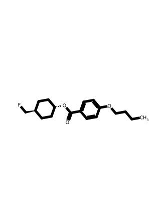 CCCCOc1ccc(C(=O)O[C@H]2CC[C@H](CF)CC2)cc1